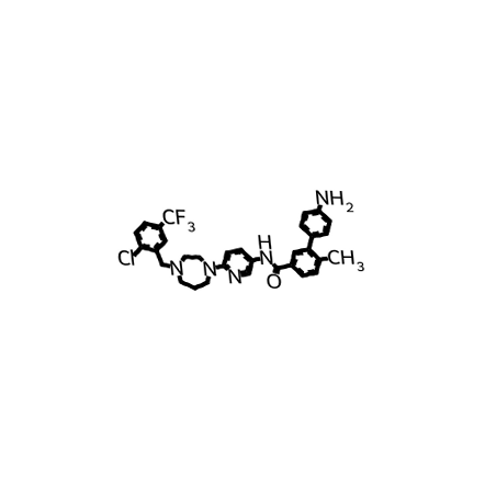 Cc1ccc(C(=O)Nc2ccc(N3CCCN(Cc4cc(C(F)(F)F)ccc4Cl)CC3)nc2)cc1-c1ccc(N)cc1